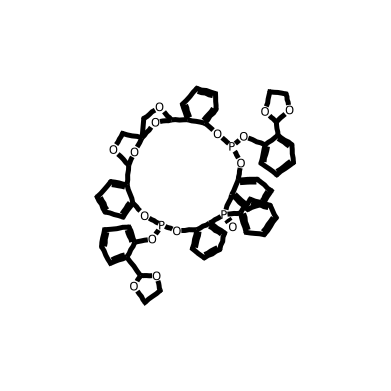 O=P1(c2ccccc2)c2ccccc2OP(Oc2ccccc2C2OCCO2)Oc2ccccc2C2OCC3(COC(O3)c3ccccc3OP(Oc3ccccc3C3OCCO3)Oc3ccccc31)O2